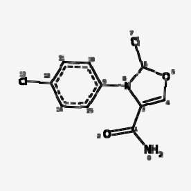 NC(=O)C1=COC(Cl)N1c1ccc(Cl)cc1